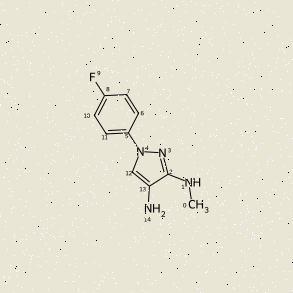 CNc1nn(-c2ccc(F)cc2)cc1N